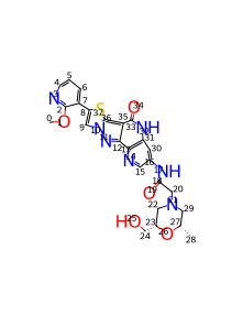 COc1ncccc1-c1cn2nc3c4ncc(NC(=O)CN5C[C@@H](CO)O[C@@H](C)C5)cc4[nH]c(=O)c3c2s1